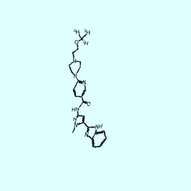 [2H]C([2H])([2H])OCCN1CCN(c2ccc(C(=O)Nc3cc(-c4nc5ccccc5[nH]4)n(C)n3)cn2)CC1